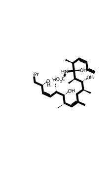 C=C/C=C\[C@H](C)[C@@](O)(NC(=O)O)[C@H](C)[C@H](O)[C@@H](C)C/C(C)=C\[C@H](C)[C@@H](O)[C@@H](C)/C=C\[C@@H](O)CC(C)C